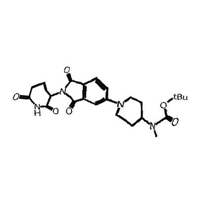 CN(C(=O)OC(C)(C)C)C1CCN(c2ccc3c(c2)C(=O)N(C2CCC(=O)NC2=O)C3=O)CC1